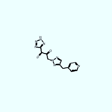 O=C(Cn1ncc(Cc2ccncc2)n1)C(=O)c1nn[nH]n1